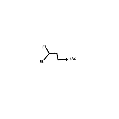 CCC(CC)CCNC(C)=O